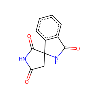 O=C1CC2(NC(=O)c3ccccc32)C(=O)N1